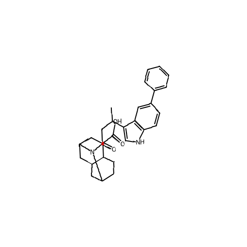 CC(CC(=O)N1C2CCC3C(C2)CC1CC3C(=O)O)c1c[nH]c2ccc(-c3ccccc3)cc12